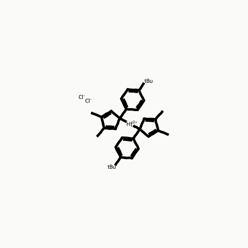 CC1=C[C]([Hf+2][C]2(c3ccc(C(C)(C)C)cc3)C=C(C)C(C)=C2)(c2ccc(C(C)(C)C)cc2)C=C1C.[Cl-].[Cl-]